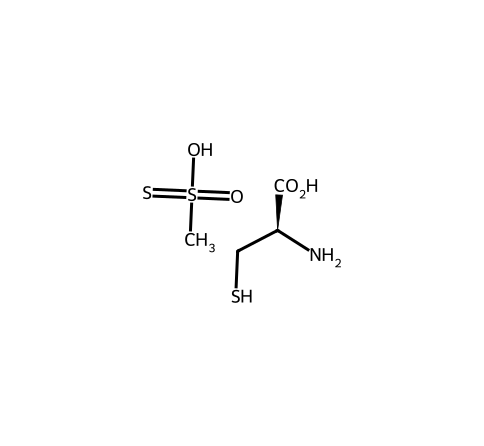 CS(=O)(O)=S.N[C@@H](CS)C(=O)O